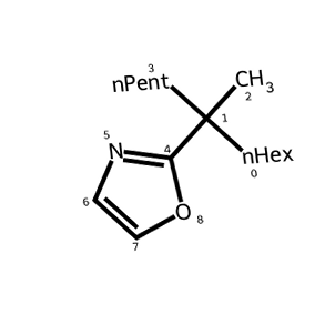 CCCCCCC(C)(CCCCC)c1ncco1